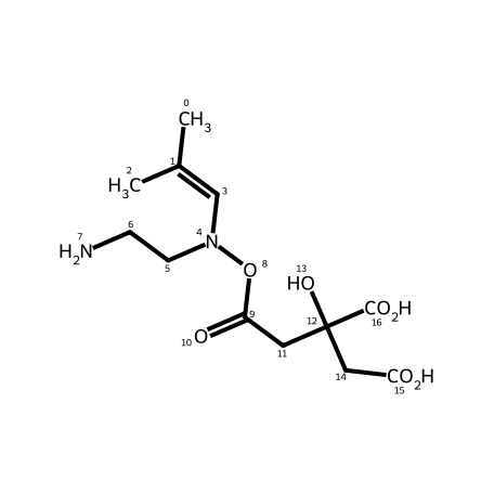 CC(C)=CN(CCN)OC(=O)CC(O)(CC(=O)O)C(=O)O